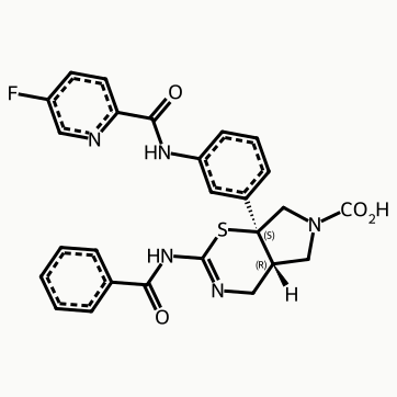 O=C(NC1=NC[C@H]2CN(C(=O)O)C[C@]2(c2cccc(NC(=O)c3ccc(F)cn3)c2)S1)c1ccccc1